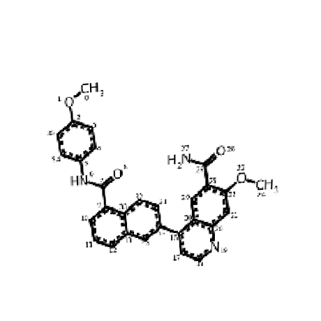 COc1ccc(NC(=O)c2cccc3cc(-c4ccnc5cc(OC)c(C(N)=O)cc45)ccc23)cc1